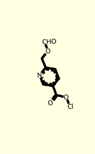 O=COCc1ccc(C(=O)OCl)cn1